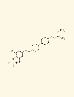 CCC(C)CCC1CCC(C2CCC(CCc3cc(F)c(OC(F)(F)F)c(F)c3)CC2)CC1